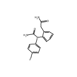 NC(=O)Cc1ccccc1N(C(N)=O)c1ccc(F)cc1